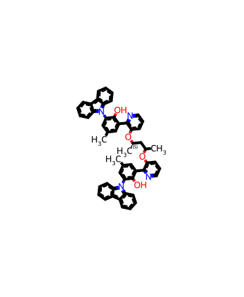 Cc1cc(-c2ncccc2OC(C)C[C@H](C)Oc2cccnc2-c2cc(C)cc(-n3c4ccccc4c4ccccc43)c2O)c(O)c(-n2c3ccccc3c3ccccc32)c1